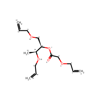 C=CCOCC(=O)O[C@H](COCC=C)[C@H](C)OCC=C